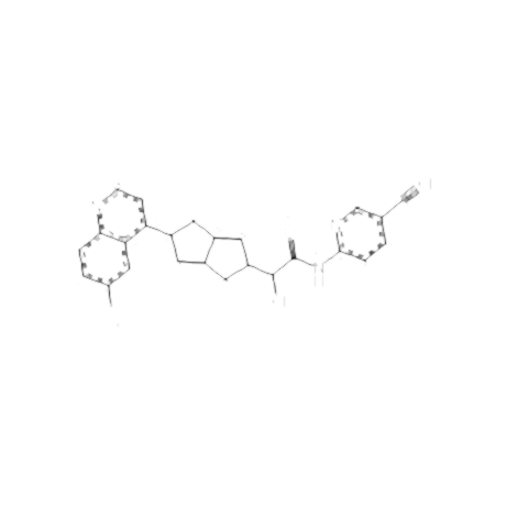 C#Cc1ccc(NC(=O)C(C)C2CC3CC(c4ccnc5ccc(F)cc45)CC3C2)nc1